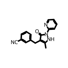 Cc1[nH]n(-c2ccccn2)c(=O)c1Cc1cccc(C#N)c1